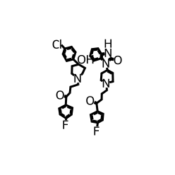 O=C(CCCN1CC=C(n2c(=O)[nH]c3ccccc32)CC1)c1ccc(F)cc1.O=C(CCCN1CCC(O)(c2ccc(Cl)cc2)CC1)c1ccc(F)cc1